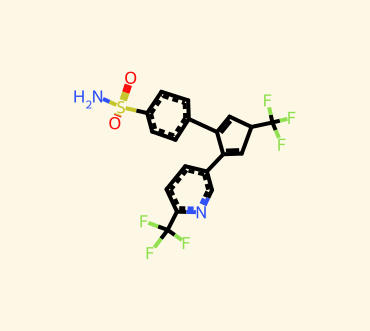 NS(=O)(=O)c1ccc(C2=CC(C(F)(F)F)C=C2c2ccc(C(F)(F)F)nc2)cc1